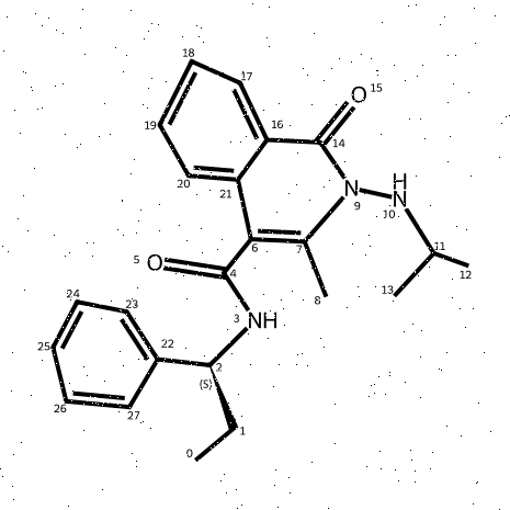 CC[C@H](NC(=O)c1c(C)n(NC(C)C)c(=O)c2ccccc12)c1ccccc1